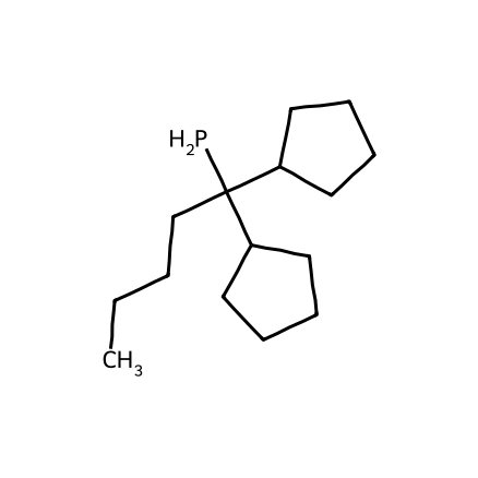 CCCCC(P)(C1CCCC1)C1CCCC1